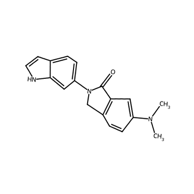 CN(C)c1ccc2c(c1)C(=O)N(c1ccc3cc[nH]c3c1)C2